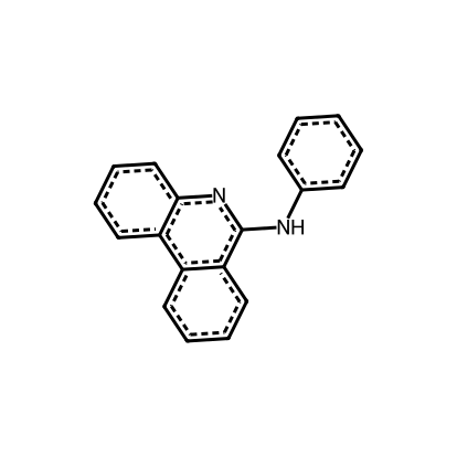 c1ccc(Nc2nc3ccccc3c3ccccc23)cc1